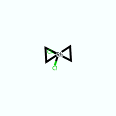 [Cl][Rh]12([Cl])([CH2][CH2]1)[CH2][CH2]2